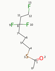 CC(=O)SCCCCC(F)(F)CCF